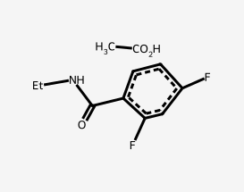 CC(=O)O.CCNC(=O)c1ccc(F)cc1F